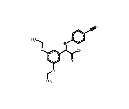 CCOc1cc(OCC)cc(C(Nc2ccc(C#N)cc2)C(=O)O)c1